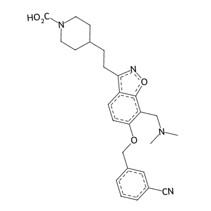 CN(C)Cc1c(OCc2cccc(C#N)c2)ccc2c(CCC3CCN(C(=O)O)CC3)noc12